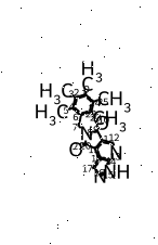 Cc1c(C)c(C)c(CN2C(=O)c3cnc4[nH]ncc4c3C2=O)c(C)c1C